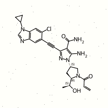 C=CC(=O)N1C[C@@H](n2nc(C#Cc3cc4ncn(C5CC5)c4cc3Cl)c(C(N)=O)c2N)C[C@@H]1[C@H](C)O